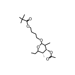 CCC1O[C@@H](OCCCCOC(=O)C(C)(C)C)C(C)[C@@H](OC(C)=O)[C@@H]1C